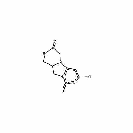 O=C1CN2c3cc(Cl)nc(=O)n3CC2CN1